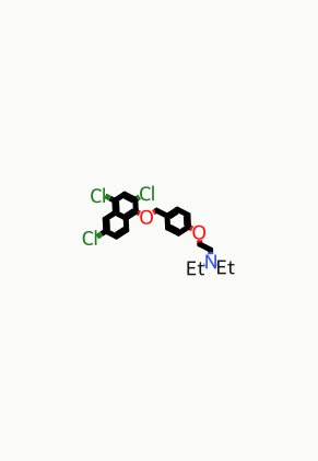 CCN(CC)CCOc1ccc(COc2c(Cl)cc(Cl)c3cc(Cl)ccc23)cc1